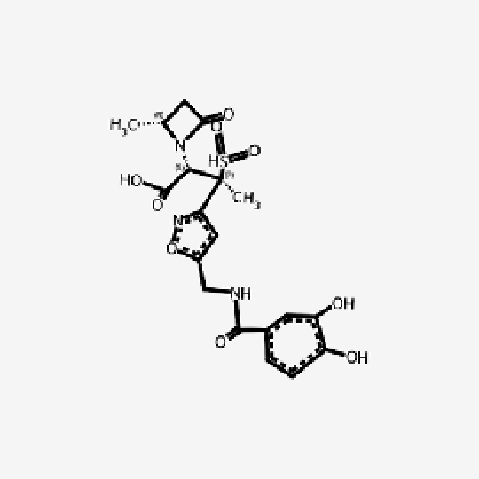 C[C@@H]1CC(=O)N1[C@@H](C(=O)O)[C@](C)(c1cc(CNC(=O)c2ccc(O)c(O)c2)on1)[SH](=O)=O